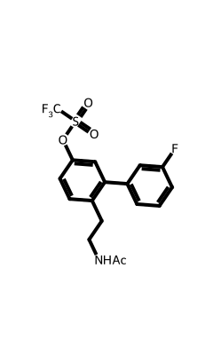 CC(=O)NCCc1ccc(OS(=O)(=O)C(F)(F)F)cc1-c1cccc(F)c1